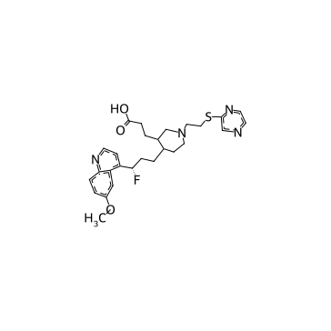 COc1ccc2nccc([C@@H](F)CCC3CCN(CCSc4cnccn4)CC3CCC(=O)O)c2c1